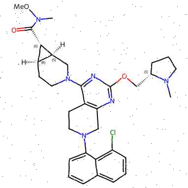 CON(C)C(=O)[C@H]1[C@@H]2CCN(c3nc(OC[C@@H]4CCCN4C)nc4c3CCN(c3cccc5cccc(Cl)c35)C4)C[C@@H]21